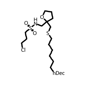 CCCCCCCCCCCCCCCCSCC1(CNS(=O)(=O)CCCCl)CCCO1